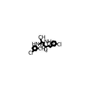 C#Cc1c(Nc2ccc(Cl)cc2C)sc(C(=O)c2cc3cc(Cl)ccc3o2)c1N